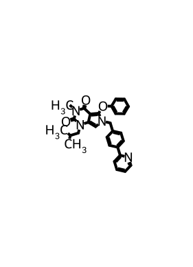 CC(C)Cn1c(=O)n(C)c(=O)c2c(Oc3ccccc3)n(Cc3ccc(-c4ccccn4)cc3)cc21